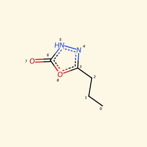 CCCc1n[nH]c(=O)o1